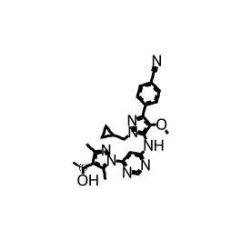 COc1c(-c2ccc(C#N)cc2)nn(CC2CC2)c1Nc1cc(-n2nc(C)c([C@H](C)O)c2C)ncn1